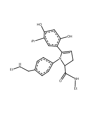 CCNCc1ccc(N2C(c3cc(C(C)C)c(O)cc3O)=CCC2C(=O)NCC)cc1